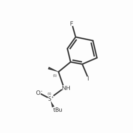 C[C@H](N[S@+]([O-])C(C)(C)C)c1cc(F)ccc1I